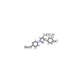 COc1ccc(-n2cc(CC(=O)O)c(-c3ccc(Cl)cc3)n2)cc1